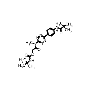 CN(C(=O)COC(=O)NC(C)(C)C)c1nnc(-c2ccc(NC(=O)C(C)(C)C)cc2)nn1